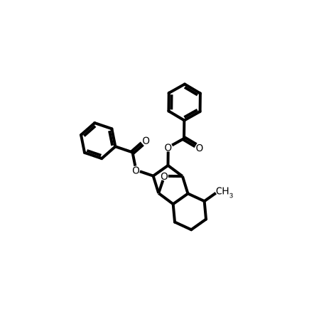 CC1CCCC2C3OC(C(OC(=O)c4ccccc4)C3OC(=O)c3ccccc3)C12